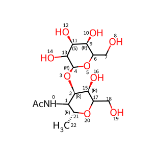 CC(=O)NC1[C@@H](O[C@@H]2OC(CO)[C@H](O)[C@H](O)C2O)[C@@H](O)C(CO)O[C@@H]1C